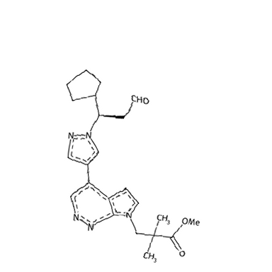 COC(=O)C(C)(C)Cn1ccc2c(-c3cnn([C@H](CC=O)C4CCCC4)c3)cnnc21